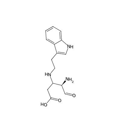 N[C@@H](C=O)C(CC(=O)O)NCCc1c[nH]c2ccccc12